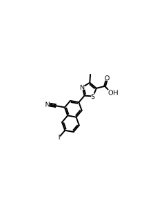 Cc1nc(-c2cc(C#N)c3cc(I)ccc3c2)sc1C(=O)O